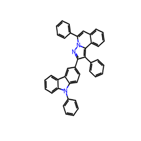 c1ccc(-c2c(-c3ccc4c(c3)c3ccccc3n4-c3ccccc3)nn3c(-c4ccccc4)cc4ccccc4c23)cc1